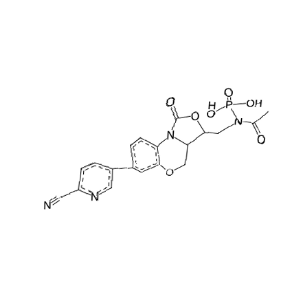 CC(=O)N(CC1OC(=O)N2c3ccc(-c4ccc(C#N)nc4)cc3OCC12)P(=O)(O)O